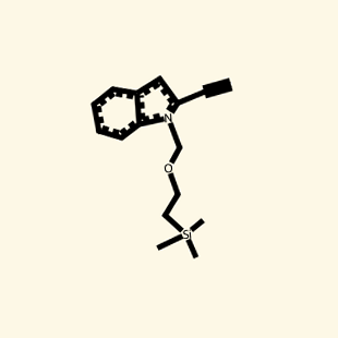 C#Cc1cc2ccccc2n1COCC[Si](C)(C)C